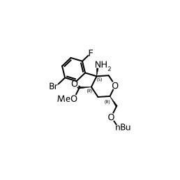 CCCCOC[C@H]1C[C@@H](C(=O)OC)[C@](N)(c2cc(Br)ccc2F)CO1